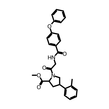 COC(=O)C1CC(c2ccccc2C)CN1C(=O)CNC(=O)c1ccc(Oc2ccccc2)cc1